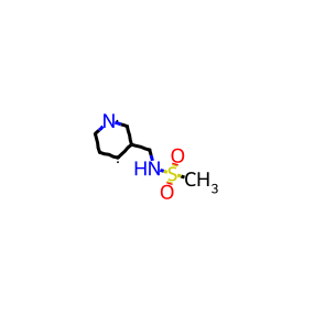 CS(=O)(=O)NCC1[CH]CC[N]C1